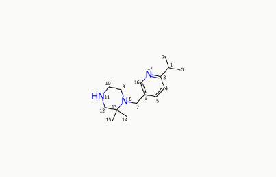 CC(C)c1ccc(CN2CCNCC2(C)C)cn1